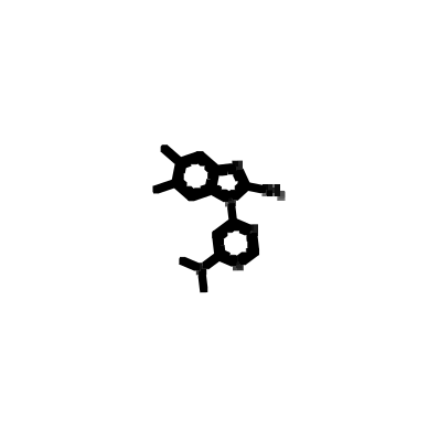 Cc1cc2nc(N)n(-c3cc(N(C)C)ncn3)c2cc1C